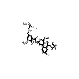 CO[C@@H](C)CNCc1cc(C(=O)Nc2cc(-c3ccc(C#N)cc3C(=O)N3CC(F)(F)C3)cc(OC(C)C)n2)c(=O)n(C)c1